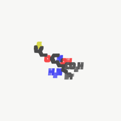 CC(C)CC(N)C(O)(Cc1cc(OCCc2ccsc2)ccn1)C(=O)O